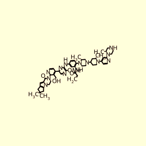 C=CC(=O)Nc1cc(Nc2nc(-c3ccnc(N4CCn5c(cc6c5CC(C)(C)C6)C4=O)c3CO)cnc2OC)ccc1N1CCN(C2CCN(c3ccnc(N4CCNC[C@@H]4C)c3)[C@H](C)C2)C[C@@H]1C